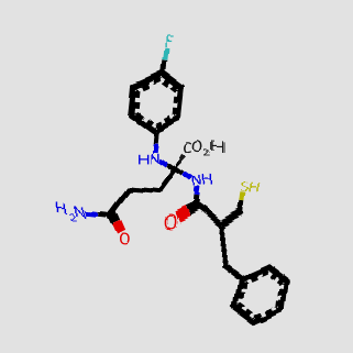 NC(=O)CC[C@@](NC(=O)C(CS)Cc1ccccc1)(Nc1ccc(F)cc1)C(=O)O